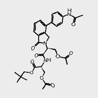 CC(=O)Nc1ccc(-c2cccc3c2CN([C@@H](COC(C)=O)C(=O)N[C@@H](COC(C)=O)C(=O)OCC(C)(C)C)C3=O)cc1